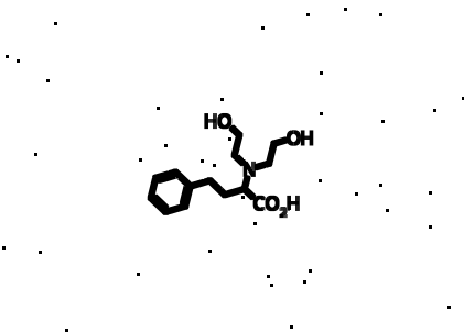 O=C(O)C(CCc1ccccc1)N(CCO)CCO